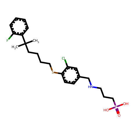 CC(C)(CCCCSc1ccc(CNCCCP(=O)(O)O)cc1Cl)c1ccccc1F